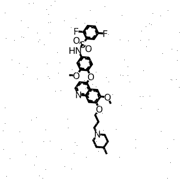 COc1cc2c(Oc3ccc(NS(=O)(=O)c4cc(F)ccc4F)cc3OC)ccnc2cc1OCCCN1CCC(C)CC1